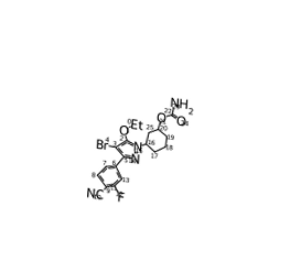 CCOc1c(Br)c(-c2ccc(C#N)c(F)c2)nn1C1CCCC(OC(N)=O)C1